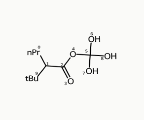 CCCC(C(=O)OC(O)(O)O)C(C)(C)C